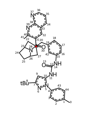 Cc1ccc(-n2nc(C(C)(C)C)cc2NC(=O)Nc2cccc(CC3CC4CCC(C3)N4C(=O)c3cc4cccnc4nc3C)c2)cc1